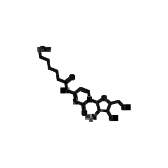 CCCCCCCCCCCCCCCC(=O)Nc1ccn(C2OC(CO)C(O)C2N)c(=O)n1